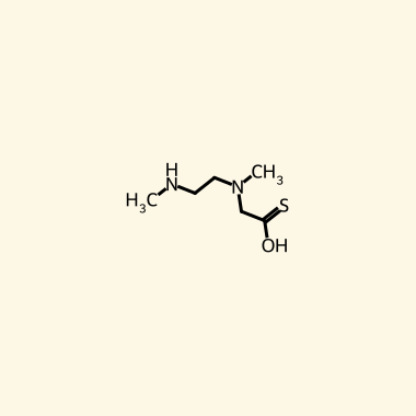 CNCCN(C)CC(O)=S